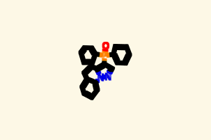 O=P(c1ccccc1)(c1ccccc1)c1cnn2c1ccc1ccccc12